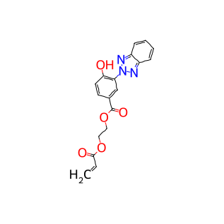 C=CC(=O)OCCOC(=O)c1ccc(O)c(-n2nc3ccccc3n2)c1